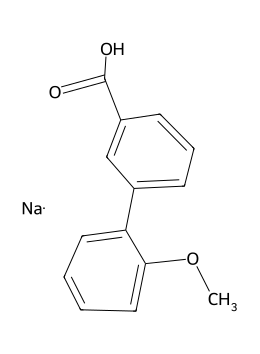 COc1ccccc1-c1cccc(C(=O)O)c1.[Na]